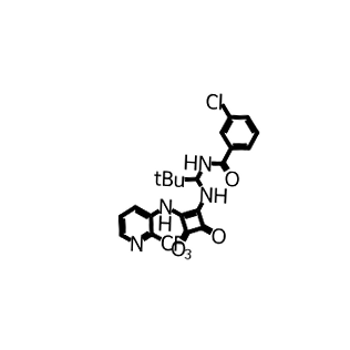 CC(C)(C)C(NC(=O)c1cccc(Cl)c1)Nc1c(Nc2cccnc2C(F)(F)F)c(=O)c1=O